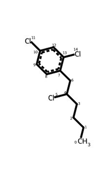 CCCCC(Cl)Cc1ccc(Cl)cc1Cl